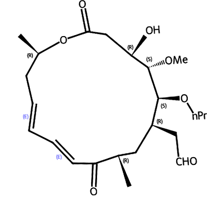 CCCO[C@H]1[C@@H](CC=O)C[C@@H](C)C(=O)/C=C/C=C/C[C@@H](C)OC(=O)C[C@@H](O)[C@@H]1OC